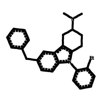 CCc1ccccc1-n1c2c(c3cc(Cc4ccccc4)ccc31)CC(N(C)C)CC2